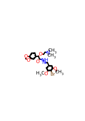 COc1cc(/C=N/NC(=O)C(OCCN(C)C)c2ccc3c(c2)OCO3)cc(OC)c1Br